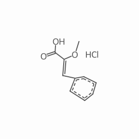 COC(=Cc1ccccc1)C(=O)O.Cl